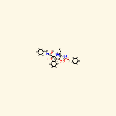 CC[C@H](C)[C@H](NC(=O)OCc1ccccc1)C(=O)C(c1ccccc1)[C@H](N)[C@@H](O)C(=O)NCc1ccccc1